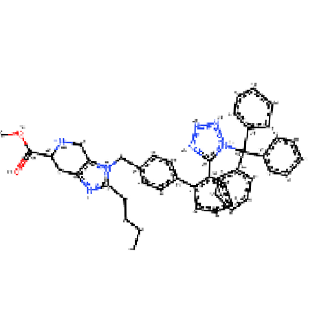 CCCCc1nc2c(n1Cc1ccc(-c3ccccc3-c3nnnn3C(c3ccccc3)(c3ccccc3)c3ccccc3)cc1)CNC(C(=O)OC)C2